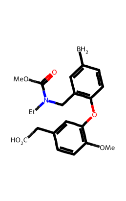 Bc1ccc(Oc2cc(CC(=O)O)ccc2OC)c(CN(CC)C(=O)OC)c1